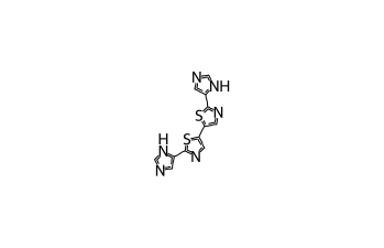 c1ncc(-c2ncc(-c3cnc(-c4cnc[nH]4)s3)s2)[nH]1